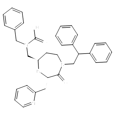 O=C(O)N(Cc1ccccc1)C[C@H]1CCN(CC(c2ccccc2)c2ccccc2)C(=O)[C@H](Cc2ccccn2)N1